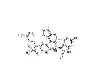 CN(C)CCN(c1ccc(N/C(=C2\C(=O)Nc3cc(Cl)ccc32)c2ccc3c(c2)CCO3)cc1)S(C)(=O)=O